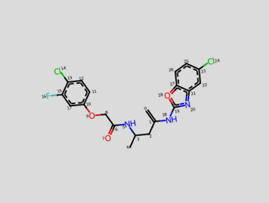 C=C(CC(C)NC(=O)COc1ccc(Cl)c(F)c1)Nc1nc2cc(Cl)ccc2o1